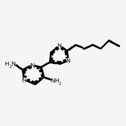 CCCCCCc1ncc(-c2nc(N)ncc2N)cn1